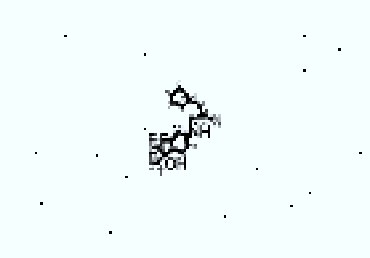 N#CC(Cc1ccccc1)=NNc1ccc(C(O)(C(F)(F)F)C(F)(F)F)cc1